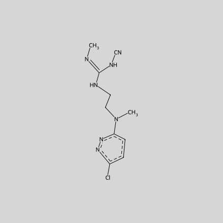 CN=C(NC#N)NCCN(C)c1ccc(Cl)nn1